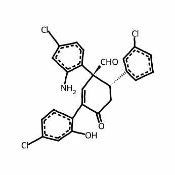 Nc1cc(Cl)ccc1[C@@]1(C=O)C=C(c2ccc(Cl)cc2O)C(=O)C[C@H]1c1cccc(Cl)c1